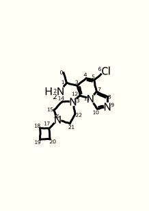 CC(N)c1cc(Cl)c2cncn2c1N1CCN(C2CCC2)CC1